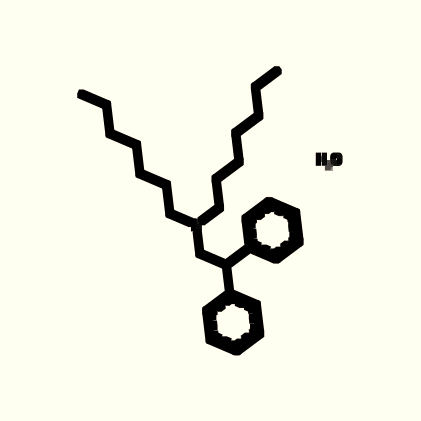 CCCCCCCN(CCCCCCC)CC(c1ccccc1)c1ccccc1.O